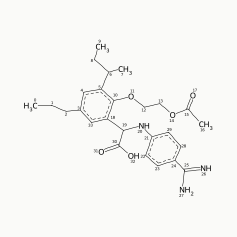 CCCc1cc(C(C)CC)c(OCCOC(C)=O)c(C(Nc2ccc(C(=N)N)cc2)C(=O)O)c1